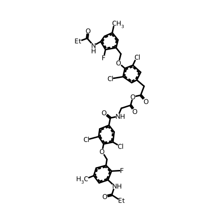 CCC(=O)Nc1cc(C)cc(COc2c(Cl)cc(CC(=O)OC(=O)CNC(=O)c3cc(Cl)c(OCc4cc(C)cc(NC(=O)CC)c4F)c(Cl)c3)cc2Cl)c1F